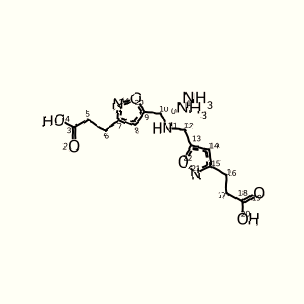 N.N.O=C(O)CCc1cc(CNCc2cc(CCC(=O)O)no2)on1